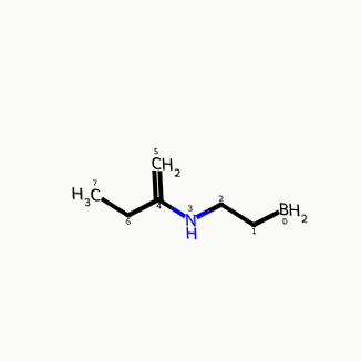 BCCNC(=C)CC